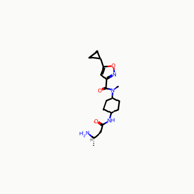 C[C@H](N)CC(=O)NC1CCC(N(C)C(=O)c2cc(C3CC3)on2)CC1